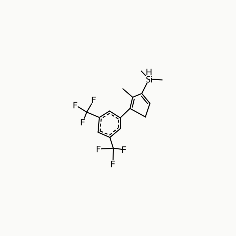 CC1=C(c2cc(C(F)(F)F)cc(C(F)(F)F)c2)CC=C1[SiH](C)C